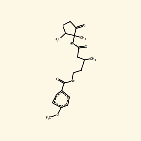 CC(CCNC(=O)c1ccc(OC(F)(F)F)cc1)CC(=O)NC1(C)C(=O)COC1C